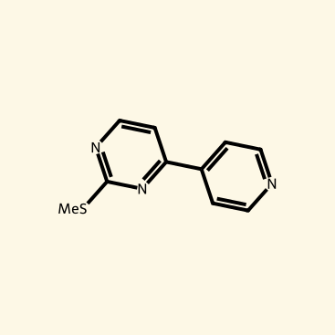 CSc1nccc(-c2ccncc2)n1